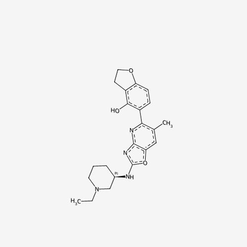 CCN1CCC[C@@H](Nc2nc3nc(-c4ccc5c(c4O)CCO5)c(C)cc3o2)C1